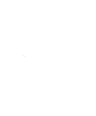 COc1cc(Cl)ncc1-c1cnn(CC(C)=O)c1